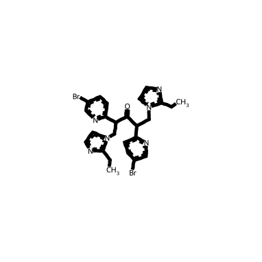 CCc1nccn1CC(C(=O)C(Cn1ccnc1CC)c1ccc(Br)cn1)c1ccc(Br)cn1